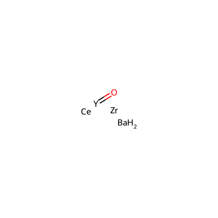 [BaH2].[Ce].[O]=[Y].[Zr]